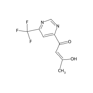 C/C(O)=C/C(=O)c1cc(C(F)(F)F)ncn1